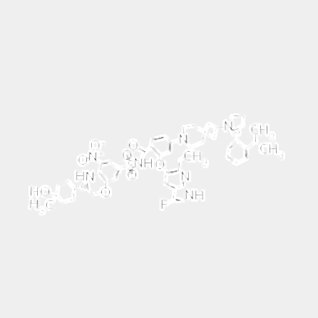 CCc1nc2[nH]cc(F)c2cc1Oc1cc(N2CCC3(CC2)CC(N2CCC[C@@H]2c2ccccc2C(C)C)C3)ccc1C(=O)NS(=O)(=O)c1cc2c(c([N+](=O)[O-])c1)N[C@@H](C1CCC(C)(O)CC1)CO2